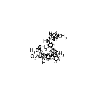 CN(C)CCNC(=C[N+](=O)[O-])Nc1ccc(-c2nn(C)c(=[N+](c3ccc(NC(=C[N+](=O)[O-])NCCN(C)C)cc3)C3CCCCC3)s2)cc1